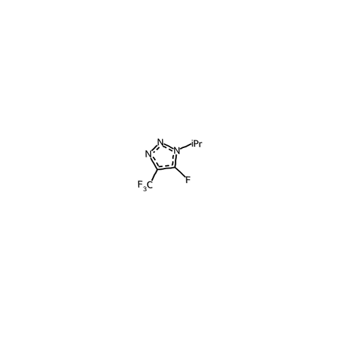 CC(C)n1nnc(C(F)(F)F)c1F